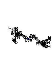 CC/C(=C(/c1ccc(OCCN(C)C(=O)CCOCCOCCC(=O)N[C@H](C(=O)N2C[C@H](O)C[C@H]2C(=O)NCc2ccc(-c3scnc3C)cc2)C(C)(C)C)cc1)c1ccc(OCc2ccc(NC(=O)[C@H](CCCNC(N)=O)NC(=O)[C@@H](NC(=O)CCCCCN3C(=O)C=CC3=O)C(C)C)cc2)cc1)c1ccccc1